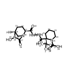 CC(C)(C)[C@@]1(C(=O)NNC(=O)[C@@H]2CC[C@@H]3CN2C(=O)N3O)CCCCN1C(=O)O